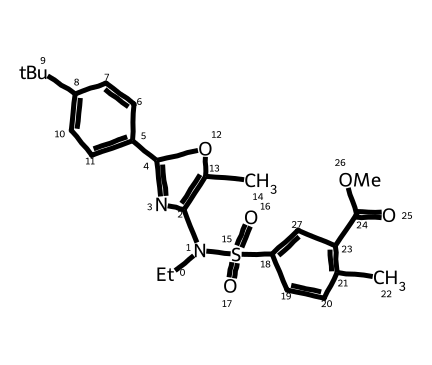 CCN(c1nc(-c2ccc(C(C)(C)C)cc2)oc1C)S(=O)(=O)c1ccc(C)c(C(=O)OC)c1